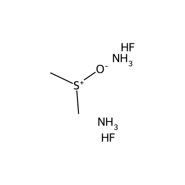 C[S+](C)[O-].F.F.N.N